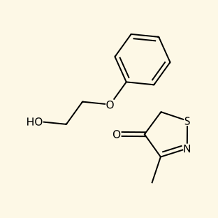 CC1=NSCC1=O.OCCOc1ccccc1